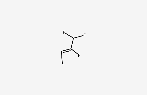 [CH2]C=C(F)C(F)F